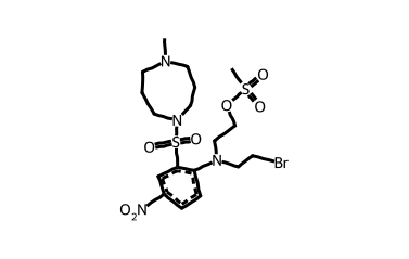 CN1CCCN(S(=O)(=O)c2cc([N+](=O)[O-])ccc2N(CCBr)CCOS(C)(=O)=O)CCC1